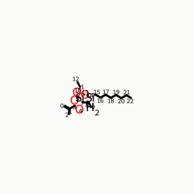 C=C(C)C(=O)O[Si](CCC)(OCC)O[SiH2]CCCCCCCC